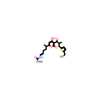 COC(=O)N/C=C/CCC(C)c1cc(O)c(C(=O)C(C)Cc2ccc(CC(C)C)s2)c(=O)o1